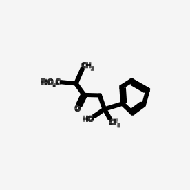 CCOC(=O)C(C)C(=O)CC(O)(c1ccccc1)C(F)(F)F